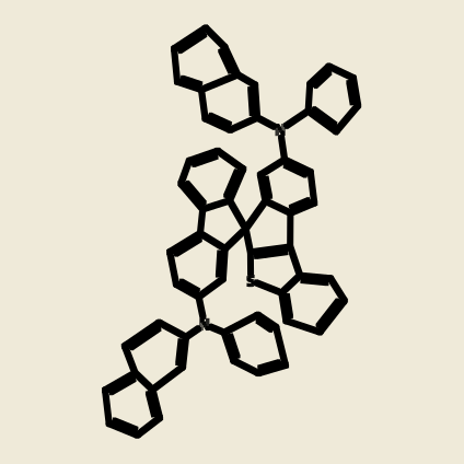 c1ccc(N(c2ccc3c(c2)C2(c4ccccc4-3)c3cc(N(c4ccccc4)c4ccc5ccccc5c4)ccc3-c3c2sc2ccccc32)c2ccc3ccccc3c2)cc1